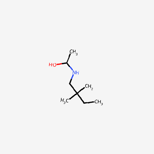 CCC(C)(C)CNC(C)O